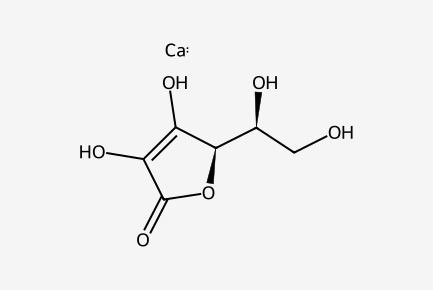 O=C1O[C@H]([C@@H](O)CO)C(O)=C1O.[Ca]